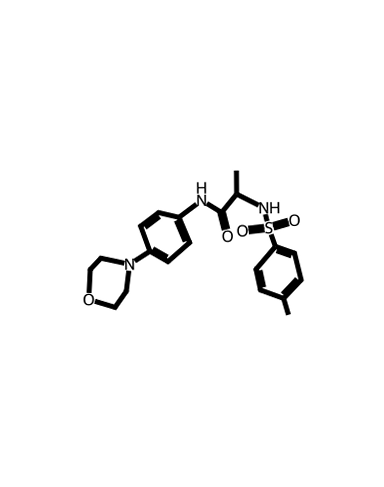 Cc1ccc(S(=O)(=O)NC(C)C(=O)Nc2ccc(N3CCOCC3)cc2)cc1